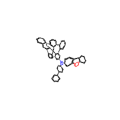 c1ccc(-c2ccc(N(c3ccc4c(c3)-c3ccccc3-c3ccccc3C43c4ccccc4-c4cc5ccccc5cc43)c3ccc4c(c3)oc3ccccc34)cc2)cc1